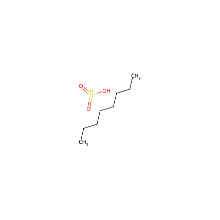 CCCCCCCC.O=[SH](=O)O